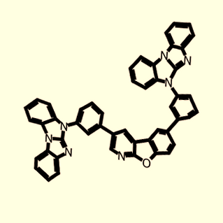 c1cc(-c2ccc3oc4ncc(-c5cccc(-n6c7ccccc7n7c8ccccc8nc67)c5)cc4c3c2)cc(-n2c3ccccc3n3c4ccccc4nc23)c1